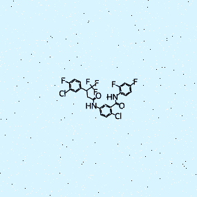 O=C(CC(c1ccc(F)c(Cl)c1)C(F)(F)F)Nc1ccc(Cl)c(C(=O)Nc2ccc(F)cc2F)c1